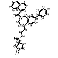 O=C(c1cccc2ccccc12)N1CCN(CCCNc2cc[nH]n2)c2ccc(-c3ccccc3)cc2C1